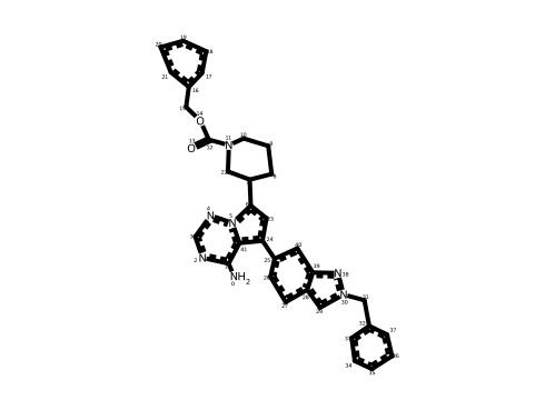 Nc1ncnn2c(C3CCCN(C(=O)OCc4ccccc4)C3)cc(-c3ccc4cn(Cc5ccccc5)nc4c3)c12